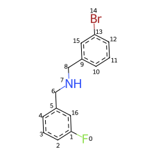 Fc1cccc(CNCc2cccc(Br)c2)c1